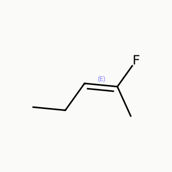 CC/C=C(\C)F